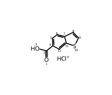 Cl.O=C(O)c1ccc2ccsc2c1